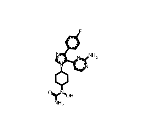 NC(=O)N(O)C1CCC(n2cnc(-c3ccc(F)cc3)c2-c2ccnc(N)n2)CC1